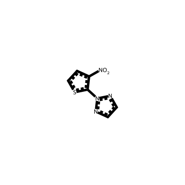 O=[N+]([O-])c1ccsc1-n1nccn1